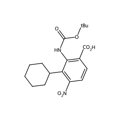 CC(C)(C)OC(=O)Nc1c(C(=O)O)ccc([N+](=O)[O-])c1C1CCCCC1